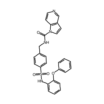 O=C(NCc1ccc(S(=O)(=O)Nc2ccccc2Oc2ccccc2)cc1)n1ccc2cnccc21